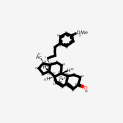 COc1ccc(CCC[C@]23CC[C@H]4[C@@H](C=CC5=CC(=O)CC[C@@]54C)[C@@H]2CC[C@@H]3C(C)=O)cc1